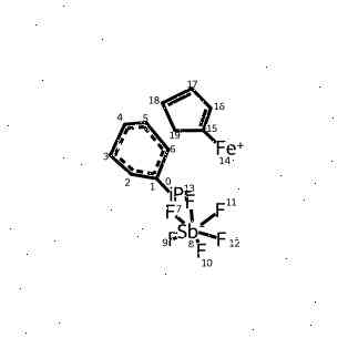 CC(C)c1ccccc1.[F][Sb-]([F])([F])([F])([F])[F].[Fe+][C]1=CC=CC1